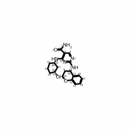 NC(=O)c1cnc(N[C@H]2CCOc3ccccc32)nc1N[C@@H]1CCC[C@H](O)C1